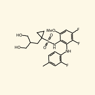 COc1cc(F)c(F)c(Nc2ccc(C)cc2F)c1NS(=O)(=O)C1(CC(CO)CO)CC1